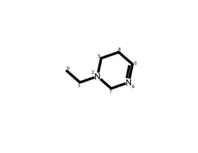 CCN1CCC=NC1